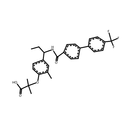 CCC(NC(=O)c1ccc(-c2ccc(C(F)(F)F)cc2)cc1)c1ccc(OC(C)(C)C(=O)O)c(C)c1